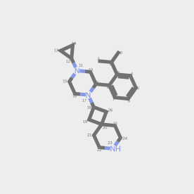 CC(C)c1ccccc1C1CN(C2CC2)CCN1C1CC2(CCNCC2)C1